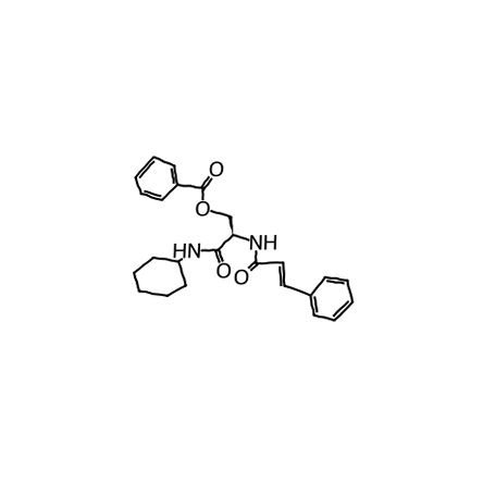 O=C(/C=C/c1ccccc1)N[C@H](COC(=O)c1ccccc1)C(=O)NC1CCCCC1